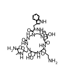 C[C@H](NC(=O)CN1CNC(=O)NCN(C(=O)[C@@H](N)Cc2c[nH]c3ccccc23)CC(=O)N[C@@H](CC(=O)O)C(=O)N[C@@H](CCCCN)C(=O)N[C@@H](CO)C1=O)C(N)=O